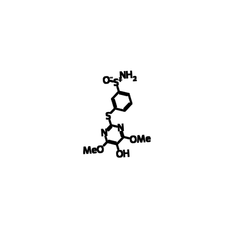 COc1nc(Sc2cccc([S+](N)[O-])c2)nc(OC)c1O